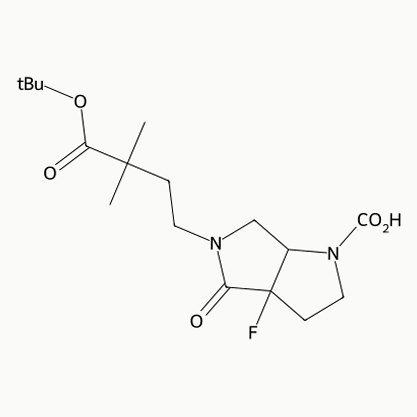 CC(C)(C)OC(=O)C(C)(C)CCN1CC2N(C(=O)O)CCC2(F)C1=O